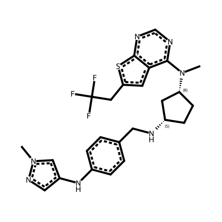 CN(c1ncnc2sc(CC(F)(F)F)cc12)[C@@H]1CC[C@H](NCc2ccc(Nc3cnn(C)c3)cc2)C1